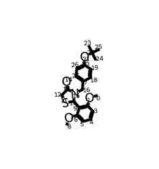 COc1cccc(OC)c1C1SCC(=O)N1Cc1ccc(OC(C)(C)C)cc1